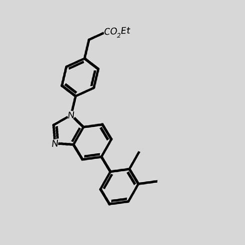 CCOC(=O)Cc1ccc(-n2cnc3cc(-c4cccc(C)c4C)ccc32)cc1